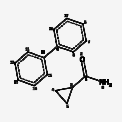 NC(=O)C1CC1.c1ccc(-c2ccccc2)cc1